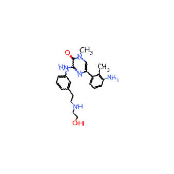 Cc1c(N)cccc1-c1cn(C)c(=O)c(Nc2cccc(CCNCCO)c2)n1